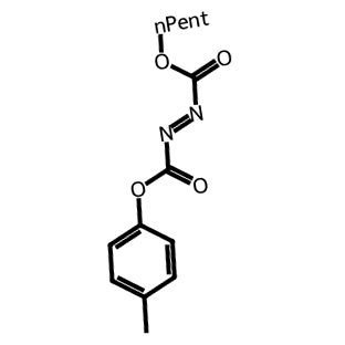 CCCCCOC(=O)N=NC(=O)Oc1ccc(C)cc1